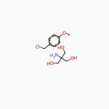 COc1ccc(CCl)cc1.NC(CO)(CO)CO